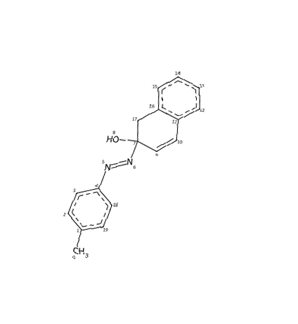 Cc1ccc(N=NC2(O)C=Cc3ccccc3C2)cc1